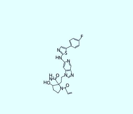 C=CC(=O)N1CCC(O)C1(CCn1cnc2cnc(Nc3ncc(-c4ccc(F)cc4)s3)cc21)C(N)=O